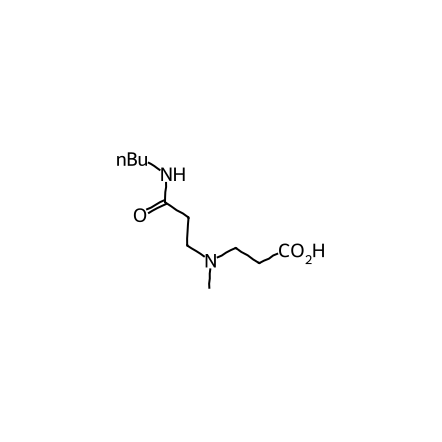 CCCCNC(=O)CCN(C)CCC(=O)O